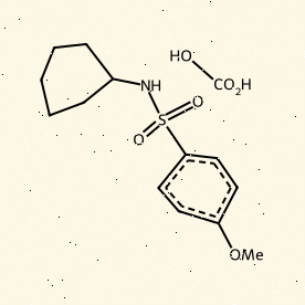 COc1ccc(S(=O)(=O)NC2CCCCC2)cc1.O=C(O)O